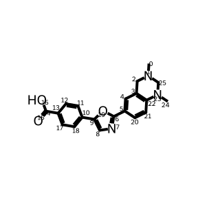 CN1Cc2cc(-c3ncc(-c4ccc(C(=O)O)cc4)o3)ccc2N(C)C1